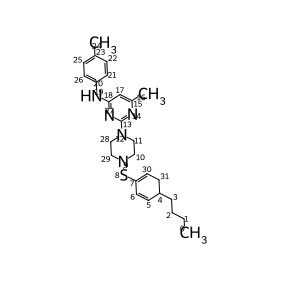 CCCCC1C=CC(SN2CCN(c3nc(C)cc(Nc4ccc(C)cc4)n3)CC2)=CC1